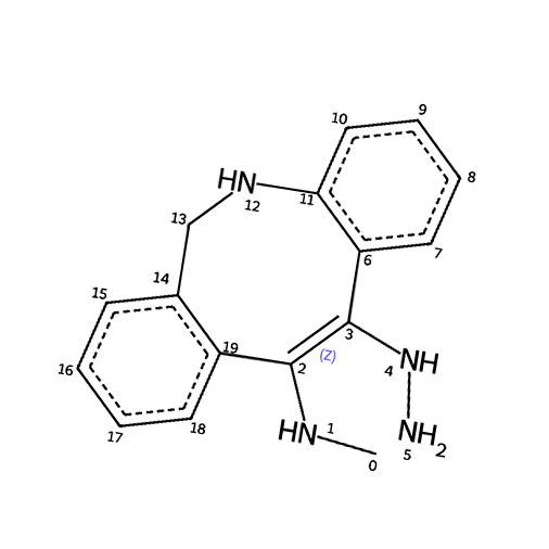 CN/C1=C(\NN)c2ccccc2NCc2ccccc21